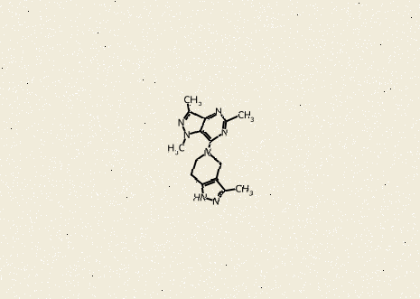 Cc1nc(N2CCc3[nH]nc(C)c3C2)c2c(n1)c(C)nn2C